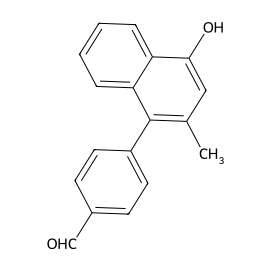 Cc1cc(O)c2ccccc2c1-c1ccc(C=O)cc1